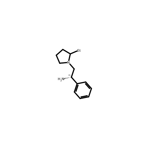 CCC1CCCN1C[C@@H](N)c1ccccc1